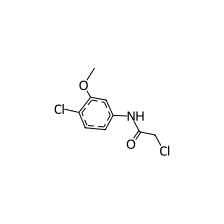 COc1cc(NC(=O)CCl)ccc1Cl